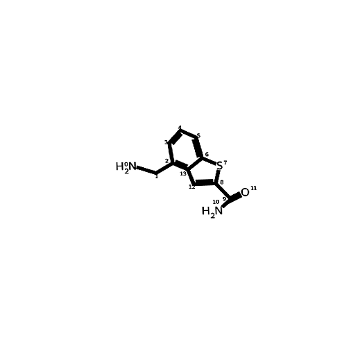 NCc1cccc2sc(C(N)=O)cc12